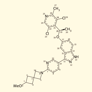 COC1CC2(C1)CN(c1ccc(-c3n[nH]c4ccc(O[C@H](C)c5c(Cl)cnc(C)c5Cl)cc34)cn1)C2